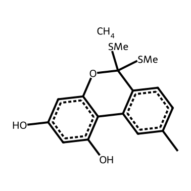 C.CSC1(SC)Oc2cc(O)cc(O)c2-c2cc(C)ccc21